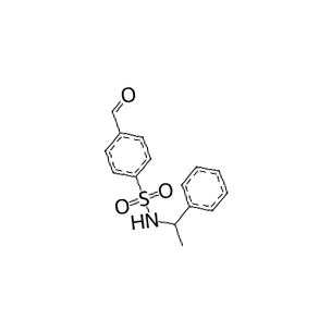 CC(NS(=O)(=O)c1ccc(C=O)cc1)c1ccccc1